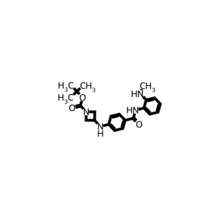 CNc1ccccc1NC(=O)c1ccc(NC2CN(C(=O)OC(C)(C)C)C2)cc1